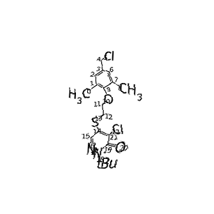 Cc1cc(CCl)cc(C)c1OCCSc1cnn(C(C)(C)C)c(=O)c1Cl